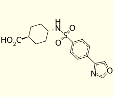 O=C(O)[C@H]1CC[C@H](NS(=O)(=O)c2ccc(-c3cocn3)cc2)CC1